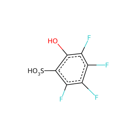 O=S(=O)(O)c1c(O)c(F)c(F)c(F)c1F